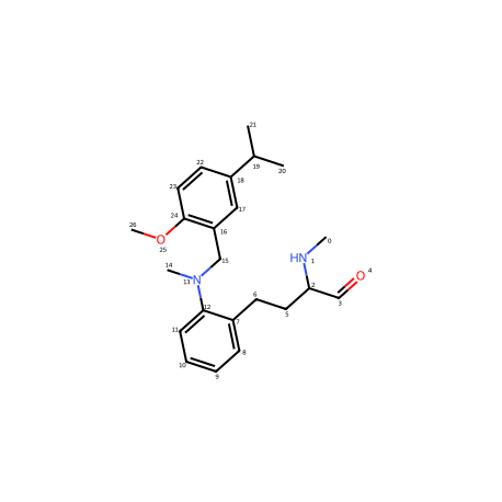 CNC(C=O)CCc1ccccc1N(C)Cc1cc(C(C)C)ccc1OC